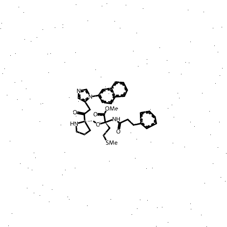 COC(=O)[C@](CCSC)(NC(=O)CCc1ccccc1)OC[C@]1(C(=O)Cc2cncn2-c2ccc3ccccc3c2)CCCN1